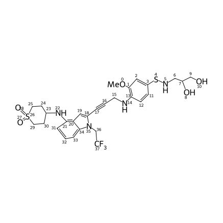 COc1cc(SNCC(O)CO)ccc1NCC#Cc1cc2c(NC3CCS(=O)(=O)CC3)cccc2n1CC(F)(F)F